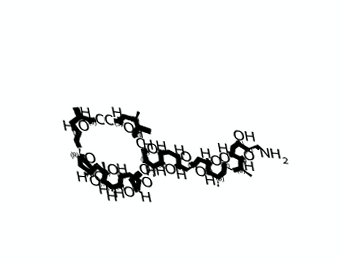 C=C1C[C@@H]2CC[C@@]34C[C@H]5O[C@H]6[C@@H](O3)[C@H]3O[C@H](CC[C@@H]3O[C@@]6(C)C5O4)CC(=O)O[C@@H]3[C@@H](C)[C@@H]4O[C@@H]5C[C@]6(C[C@@H]7O[C@]8(C[C@H](C)[C@@H]9O[C@H](CN)[C@H](O)C[C@@H]9O8)C[C@H](C)[C@@H]7O6)O[C@@H]5C[C@@H]4O[C@H]3C[C@H]3O[C@@H](CC[C@@H]1O2)C[C@@H](C)C3=C